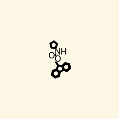 O=C(NC1CCCC1)OCC1c2ccccc2-c2ccccc21